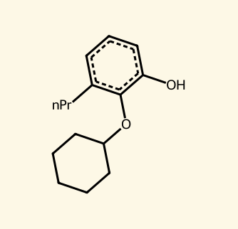 CCCc1cccc(O)c1OC1CCCCC1